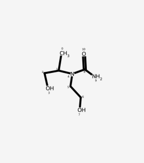 CC(CO)N(CCO)C(N)=O